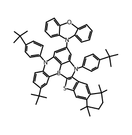 CC(C)(C)c1ccc(N2c3ccc(C(C)(C)C)cc3B3c4sc5cc6c(cc5c4N(c4ccc(C(C)(C)C)cc4)c4cc(N5c7ccccc7Oc7ccccc75)cc2c43)C(C)(C)CCC6(C)C)cc1